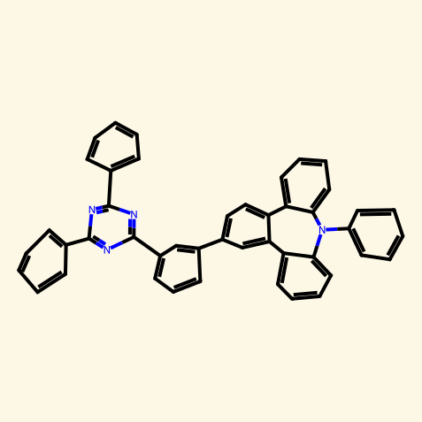 c1ccc(-c2nc(-c3ccccc3)nc(-c3cccc(-c4ccc5c(c4)-c4ccccc4N(c4ccccc4)c4ccccc4-5)c3)n2)cc1